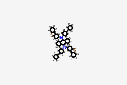 c1ccc(-c2ccc(N(c3ccc4sc5ccccc5c4c3)c3c4ccccc4c(N(c4ccc(-c5ccccc5)cc4)c4ccc5sc6ccccc6c5c4)c4ccccc34)cc2)cc1